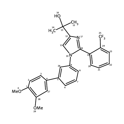 COc1ccc(-c2cccc(-n3cc(C(C)(C)O)nc3-c3ccccc3C(F)(F)F)c2)cc1OC